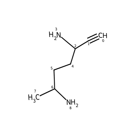 C#CC(N)CCC(C)N